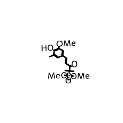 COc1cc(/C=C/C(=O)C(C)(C)P(=O)(OC)OC)cc(C)c1O